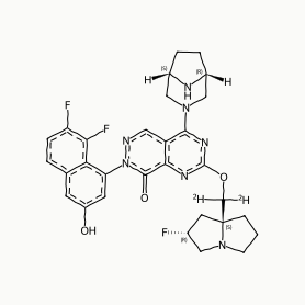 [2H]C([2H])(Oc1nc(N2C[C@H]3CC[C@@H](C2)N3)c2cnn(-c3cc(O)cc4ccc(F)c(F)c34)c(=O)c2n1)[C@@]12CCCN1C[C@H](F)C2